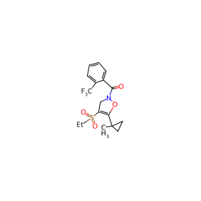 CCS(=O)(=O)C1=C(C2(C)CC2)ON(C(=O)c2ccccc2C(F)(F)F)C1